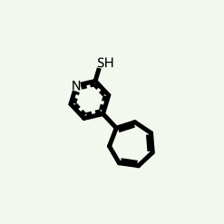 Sc1cc(C2=CC=CC=CC2)ccn1